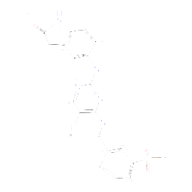 CS(=O)(=O)c1cccc(CNc2nc(Nc3ccc4c(c3)CC(=O)N4)ncc2F)c1